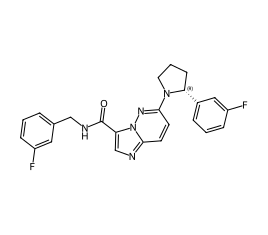 O=C(NCc1cccc(F)c1)c1cnc2ccc(N3CCC[C@@H]3c3cccc(F)c3)nn12